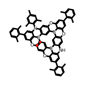 Cc1cc(C)c(N2c3cc4c(cc3B3c5ccccc5Oc5cc(-c6c(C)cccc6C)cc2c53)B2c3cc5c(cc3Oc3cc(-c6c(C)cccc6C)cc(c32)O4)Nc2cc(-c3c(C)cccc3C)cc3c2B5c2ccccc2O3)c(C)c1